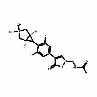 CC(=O)NCn1cc(-c2cc(F)c(C3[C@H]4CS(O)(O)C[C@@H]34)c(F)c2)c(=O)o1